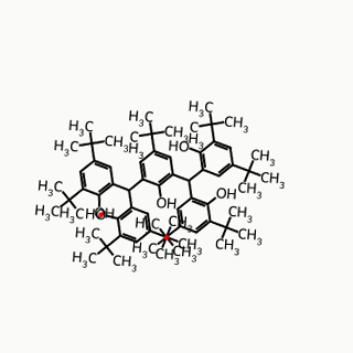 CC(C)(C)c1cc(C(c2cc(C(C)(C)C)cc(C(C)(C)C)c2O)c2cc(C(C)(C)C)cc(C(C)(C)C)c2O)c(O)c(C(c2cc(C(C)(C)C)cc(C(C)(C)C)c2O)c2cc(C(C)(C)C)cc(C(C)(C)C)c2O)c1